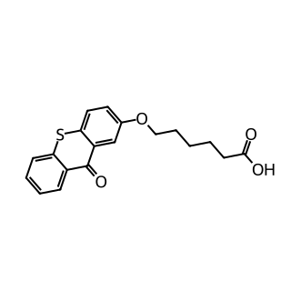 O=C(O)CCCCCOc1ccc2sc3ccccc3c(=O)c2c1